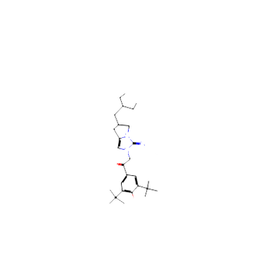 CCC(CC)CC1Cc2cn(CC(=O)c3cc(C(C)(C)C)c(O)c(C(C)(C)C)c3)c(=N)n2C1.Cl